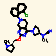 CN(C#N)C1CCN(c2nc(OC[C@@H]3CCCN3C)nc3c2CCN(c2cccc4cccc(Cl)c24)C3)C1